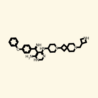 N=C(C1=C(N)NCN=C1NC1CCN(C2CC3(CCN(CC4CNC4)CC3)C2)CC1)c1ccc(Oc2ccccc2)cc1